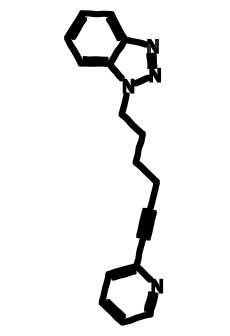 C(#Cc1ccccn1)CCCCn1nnc2ccccc21